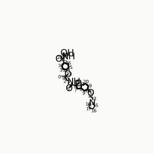 C[C@H](CNC(=O)c1cc2cc(OCCN3CCCC3)ccc2o1)Oc1ccc(C(=O)NO)cc1